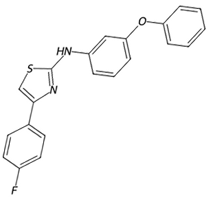 Fc1ccc(-c2csc(Nc3cccc(Oc4ccccc4)c3)n2)cc1